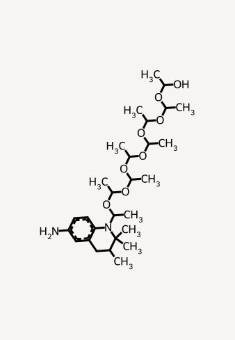 CC(O)OC(C)OC(C)OC(C)OC(C)OC(C)OC(C)OC(C)N1c2ccc(N)cc2CC(C)C1(C)C